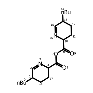 CCCCC1C=NC(C(=O)OC(=O)C2CCC(CCCC)C=N2)CC1